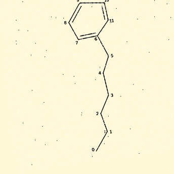 C[C]CCCCc1ccccc1